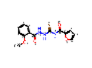 CCCOc1ccccc1C(=O)NNC(=S)NC(=O)c1ccco1